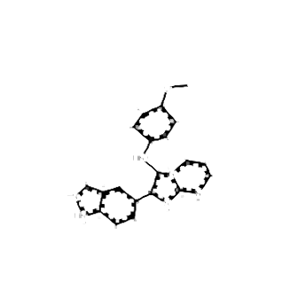 COc1ccc(Nc2c(-c3ccc4[nH]ncc4c3)nc3ncccn23)cc1